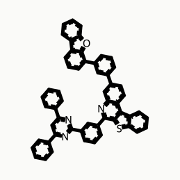 c1ccc(-c2cc(-c3ccccc3)nc(-c3cccc(-c4nc5cc(-c6cccc(-c7cccc8c7oc7ccccc78)c6)ccc5c5c4sc4ccccc45)c3)n2)cc1